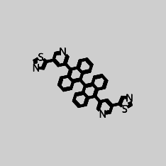 c1ccc2c(-c3c4ccccc4c(-c4cncc(-c5cncs5)c4)c4ccccc34)c3ccccc3c(-c3cncc(-c4cncs4)c3)c2c1